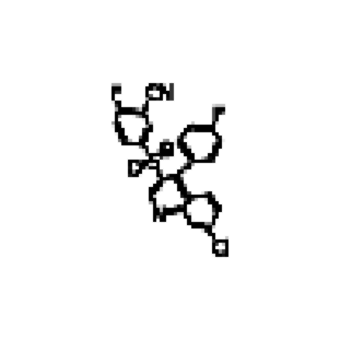 N#Cc1cc(S(=O)(=O)c2cnc3cc(Cl)ccc3c2-c2ccc(F)cc2)ccc1F